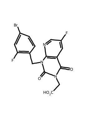 O=C(O)Cn1c(=O)c2cc(F)cnc2n(Cc2ccc(Br)cc2F)c1=O